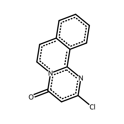 O=c1cc(Cl)nc2c3ccccc3ccn12